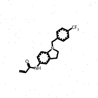 C=CC(=O)Nc1ccc2c(c1)CCN2Cc1ccc(C(F)(F)F)cc1